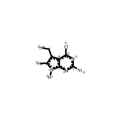 [2H]Cc1c([2H])n([2H])c2nc([2H])nc(Cl)c12